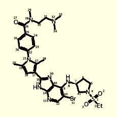 CCS(=O)(=O)N1CC[C@H](Nc2c(Br)cnc3[nH]c(-c4cc(C)n(-c5ccc(C(=O)N(C)CCN(C)C)cc5)c4C)nc23)C1